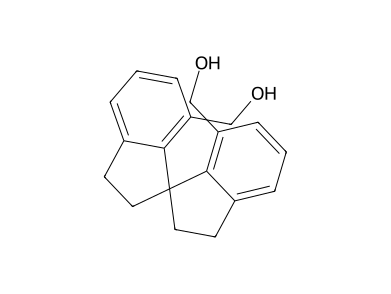 OCc1cccc2c1C1(CC2)CCc2cccc(CO)c21